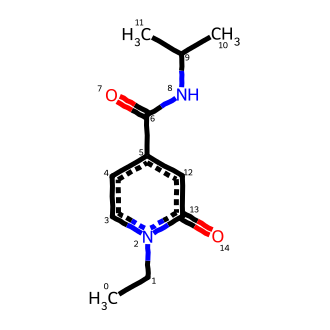 CCn1ccc(C(=O)NC(C)C)cc1=O